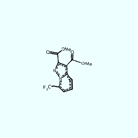 COC(=O)c1nn2c(C(F)(F)F)cccc2c1C(=O)OC